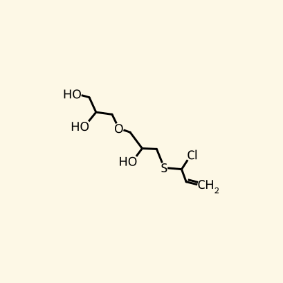 C=CC(Cl)SCC(O)COCC(O)CO